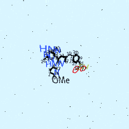 COc1ccc(Nc2ncc(Cc3ccc(C[SH](=O)=O)cc3)cc2-c2nc(C)nc3[nH]cnc23)cn1